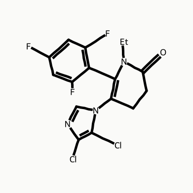 CCN1C(=O)CCC(n2cnc(Cl)c2Cl)=C1c1c(F)cc(F)cc1F